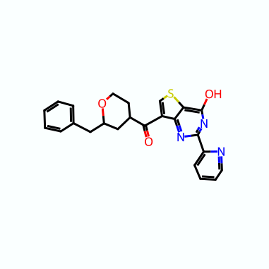 O=C(c1csc2c(O)nc(-c3ccccn3)nc12)C1CCOC(Cc2ccccc2)C1